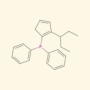 CCC(CC)C1=C(P(c2ccccc2)c2ccccc2)CC=C1